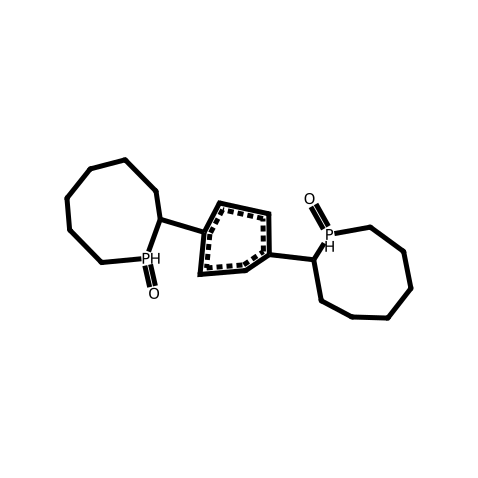 O=[PH]1CCCCCCC1c1ccc(C2CCCCCC[PH]2=O)cc1